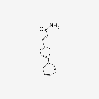 NC(=O)C=Cc1ccc(-c2ccccc2)cc1